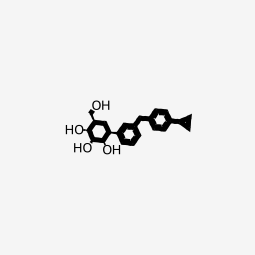 OC[C@H]1C[C@@H](c2cccc(Cc3ccc(C4CC4)cc3)c2)[C@H](O)[C@@H](O)[C@@H]1O